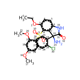 CCOc1ccc2c(c1S(=O)(=O)c1ccc(OC)cc1OC)C(N)(c1ccccc1Cl)C(=O)N2